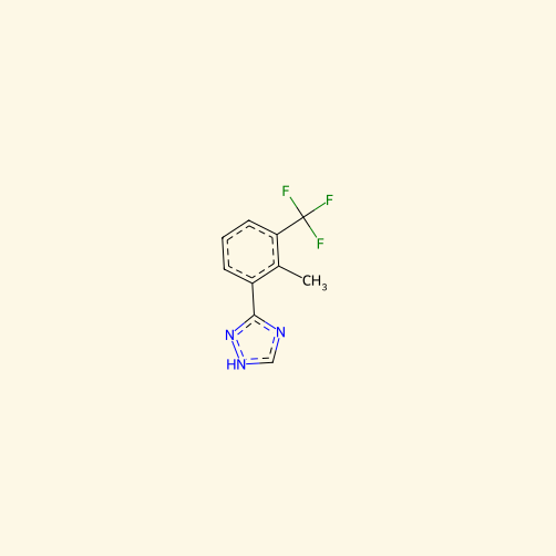 Cc1c(-c2nc[nH]n2)cccc1C(F)(F)F